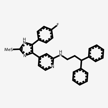 CSc1nc(-c2ccnc(NCCC(c3ccccc3)c3ccccc3)c2)c(-c2ccc(F)cc2)[nH]1